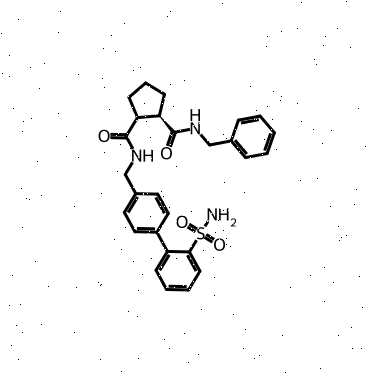 NS(=O)(=O)c1ccccc1-c1ccc(CNC(=O)C2CCC[C@H]2C(=O)NCc2ccccc2)cc1